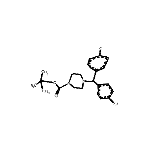 CC(C)(C)OC(=O)N1CCN(C(c2ccc(Cl)cc2)c2ccc(Cl)cc2)CC1